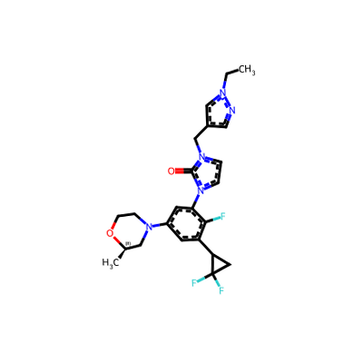 CCn1cc(Cn2ccn(-c3cc(N4CCO[C@H](C)C4)cc(C4CC4(F)F)c3F)c2=O)cn1